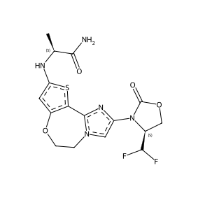 C[C@H](Nc1cc2c(s1)-c1nc(N3C(=O)OC[C@H]3C(F)F)cn1CCO2)C(N)=O